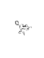 CCOC(=O)[C@H](CCc1ccccc1)N1C(=O)OC(=O)[C@@H]1C